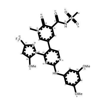 COc1cc(Nc2ncc(-c3cc(C(=O)NS(C)(=O)=O)c(=O)n(C)c3)c(-n3nc(C(F)(F)F)cc3OC)n2)cc(OC)c1